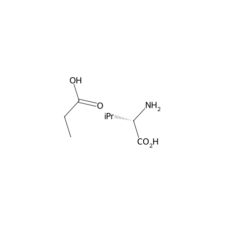 CC(C)[C@H](N)C(=O)O.CCC(=O)O